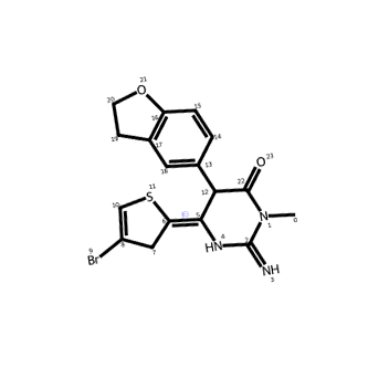 CN1C(=N)N/C(=C2\CC(Br)=CS2)C(c2ccc3c(c2)CCO3)C1=O